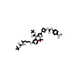 CC(CCCOc1cc(N(C(=O)OC(C)(C)C)c2cc([C@H]3CC[C@@H](OC(=O)Oc4ccc([N+](=O)[O-])cc4)C3)nn2C(C)(C)C)ccn1)NC(=O)OC(C)(C)C